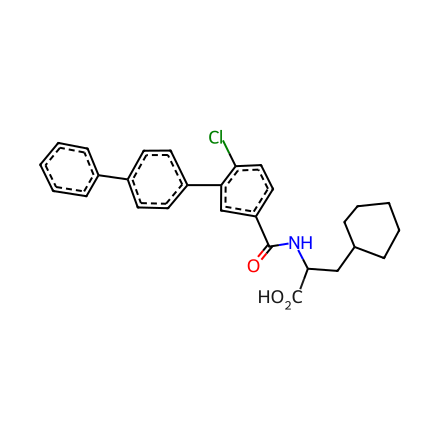 O=C(NC(CC1CCCCC1)C(=O)O)c1ccc(Cl)c(-c2ccc(-c3ccccc3)cc2)c1